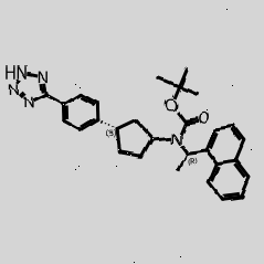 C[C@H](c1cccc2ccccc12)N(C(=O)OC(C)(C)C)C1CC[C@H](c2ccc(-c3nn[nH]n3)cc2)C1